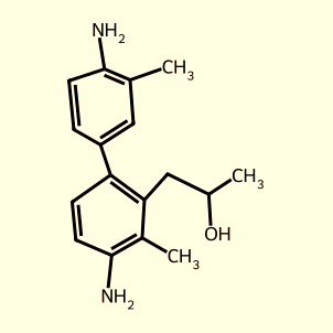 Cc1cc(-c2ccc(N)c(C)c2CC(C)O)ccc1N